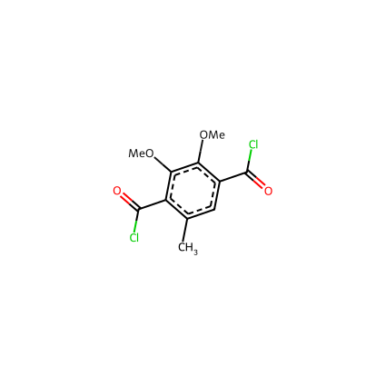 COc1c(C(=O)Cl)cc(C)c(C(=O)Cl)c1OC